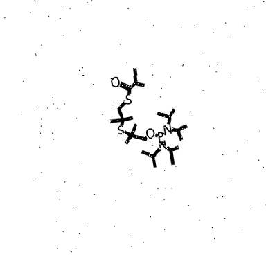 CC(C)C(=O)SCC(C)(C)SC(C)(C)COP(N(C(C)C)C(C)C)N(C(C)C)C(C)C